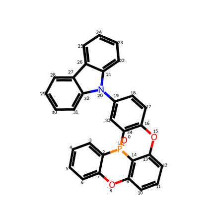 O=P12c3ccccc3Oc3cccc(c31)Oc1ccc(-n3c4ccccc4c4ccccc43)cc12